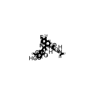 CC[C@]1(O)c2cc3n(c(=O)c2COC1O)Cc1c-3nc2cc(F)c(C)c3c2c1[C@@H](NC(=O)COCNC(C)C)CC3